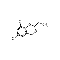 CCC1OCc2cc(Cl)cc(Cl)c2O1